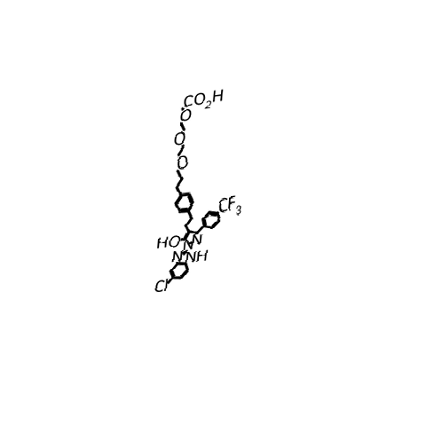 O=C(O)COCCOCCOCCCc1ccc(CCc2c(-c3ccc(C(F)(F)F)cc3)nn(-c3nc4cc(Cl)ccc4[nH]3)c2O)cc1